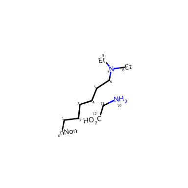 CCCCCCCCCCCCCCCN(CC)CC.NCC(=O)O